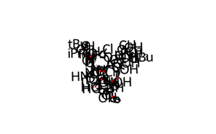 CCCCCCCCNC(=O)NC(=O)C[C@@H]1CC(=O)[C@H](NC(=O)[C@@H](CC(C)C)NC(=O)OC(C)(C)C)[C@H](O)c2ccc(c(Cl)c2)Oc2cc3cc(c2OC2OC(CO)C(O)C(O)C2OC2CC(C)(NC(=O)OC(C)(C)C)C(O)C(C)O2)Oc2ccc(cc2Cl)[C@@H](O)[C@@H]2NC(=O)[C@H](CC(=O)[C@@H]3NC1=O)c1ccc(O)c(c1)-c1c(O)cc(O)cc1[C@@H](C(=O)CC1C3CC4CC(C3)CC1C4)NC2=O